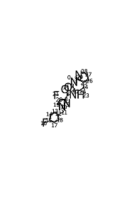 CN1C(=O)C(NC(=O)c2nn(Cc3ccc(F)cc3)cc2F)C2CC2c2cccnc21